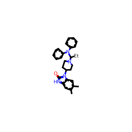 CCC(N1CCC(n2c(=O)[nH]c3cc(C)c(C)cc32)CC1)N(c1ccccc1)c1ccccc1